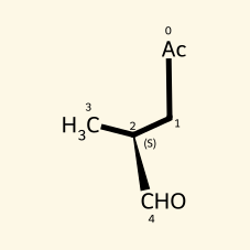 CC(=O)C[C@H](C)C=O